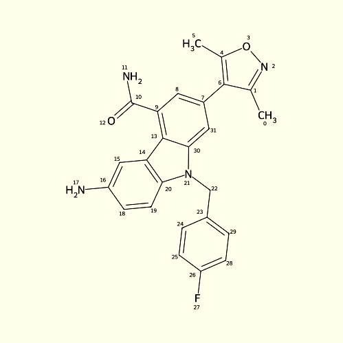 Cc1noc(C)c1-c1cc(C(N)=O)c2c3cc(N)ccc3n(Cc3ccc(F)cc3)c2c1